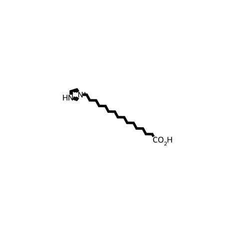 O=C(O)CCCCCCCCCCCCCCC[n+]1cc[nH]c1